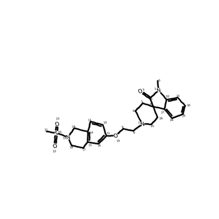 CN1C(=O)C2(CCN(CCOc3ccc4c(c3)CCN(S(C)(=O)=O)C4)CC2)c2ccccc21